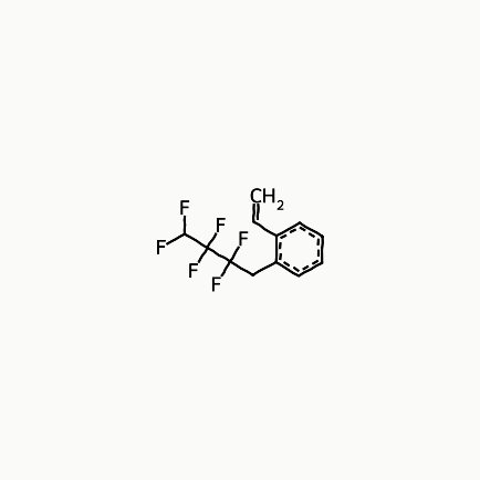 C=Cc1ccccc1CC(F)(F)C(F)(F)C(F)F